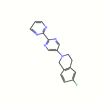 Fc1ccc2c(c1)CCN(c1cnc(-c3ncccn3)nc1)C2